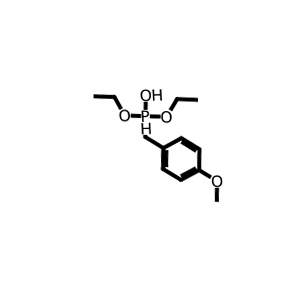 CCO[PH](O)(Cc1ccc(OC)cc1)OCC